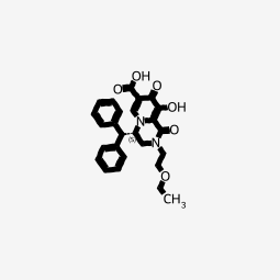 CCOCCN1C[C@H](C(c2ccccc2)c2ccccc2)n2cc(C(=O)O)c(=O)c(O)c2C1=O